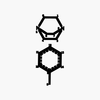 C1CN2CCN1CC2.Cc1ccccc1